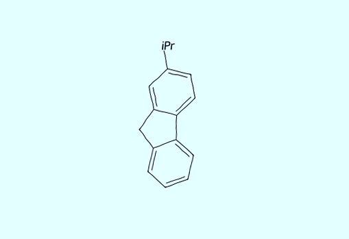 CC(C)c1ccc2c(c1)Cc1ccccc1-2